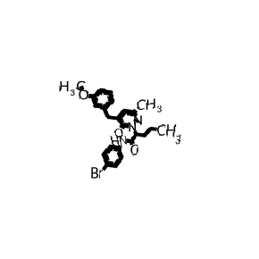 CCCC(C(=O)Nc1ccc(Br)cc1)n1nc(C)cc(Cc2cccc(OC)c2)c1=O